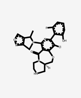 CC1c2conc2CN1c1nc(-c2c(O)cccc2F)c(Cl)c2c1C(=O)N1CCNC[C@@H]1CO2